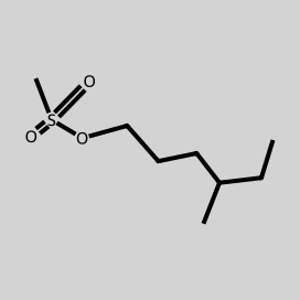 CCC(C)CCCOS(C)(=O)=O